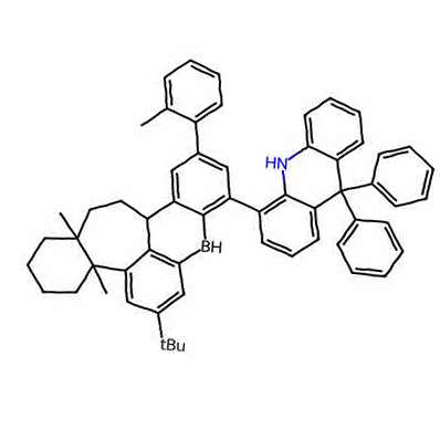 Cc1ccccc1-c1cc(-c2cccc3c2Nc2ccccc2C3(c2ccccc2)c2ccccc2)c2c(c1)C1CCC3(C)CCCCC3(C)c3cc(C(C)(C)C)cc(c31)B2